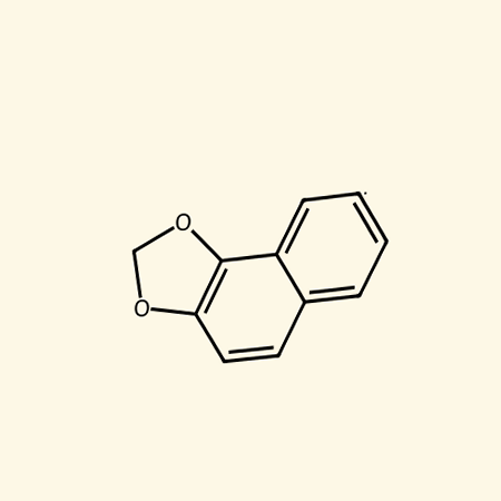 [c]1ccc2ccc3c(c2c1)OCO3